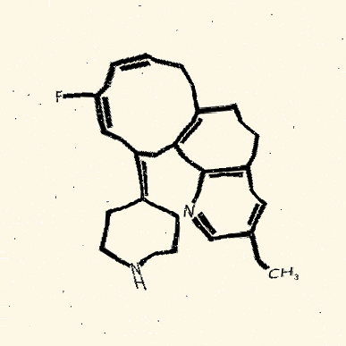 Cc1cnc2c(c1)CCC1=C2C(=C2CCNCC2)C=C(F)C=CC1